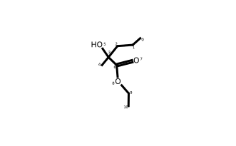 CCCC(C)(O)C(=O)OCC